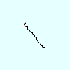 CCCCCCCCC=CCCCCCCC1OCC1=O